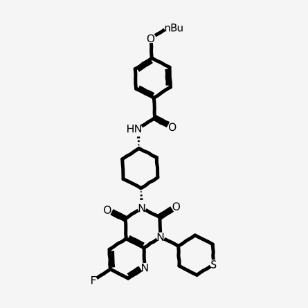 CCCCOc1ccc(C(=O)N[C@H]2CC[C@@H](n3c(=O)c4cc(F)cnc4n(C4CCSCC4)c3=O)CC2)cc1